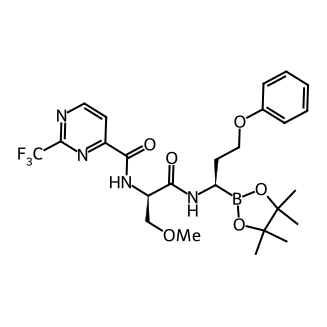 COC[C@@H](NC(=O)c1ccnc(C(F)(F)F)n1)C(=O)N[C@@H](CCOc1ccccc1)B1OC(C)(C)C(C)(C)O1